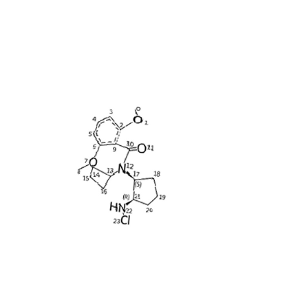 COc1cccc(OC)c1C(=O)N(C1CCC1)[C@H]1CCC[C@H]1NCl